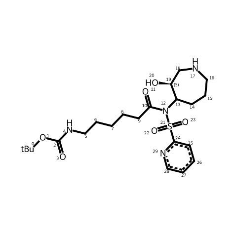 CC(C)(C)OC(=O)NCCCCCC(=O)N(C1CCCNC[C@@H]1O)S(=O)(=O)c1ccccn1